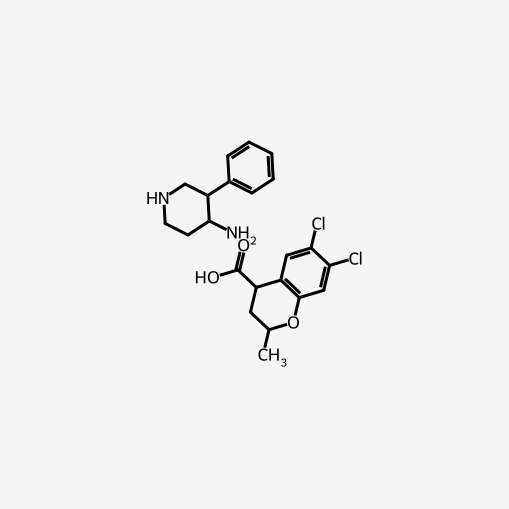 CC1CC(C(=O)O)c2cc(Cl)c(Cl)cc2O1.NC1CCNCC1c1ccccc1